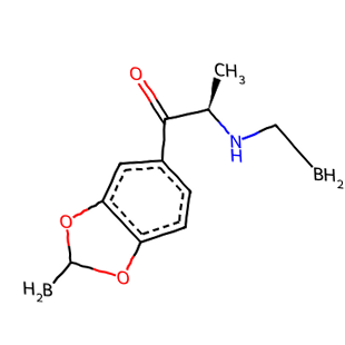 BCN[C@H](C)C(=O)c1ccc2c(c1)OC(B)O2